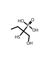 CCC(S)(CO)P(=O)(O)O